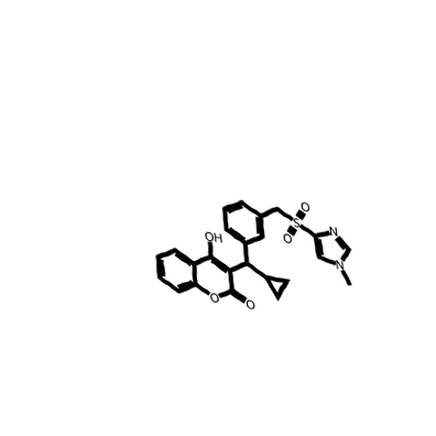 Cn1cnc(S(=O)(=O)Cc2cccc(C(c3c(O)c4ccccc4oc3=O)C3CC3)c2)c1